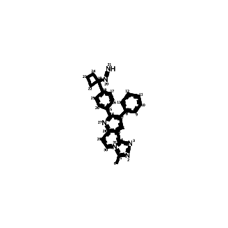 Cc1nnc2c3cc(-c4ccccc4)c(-c4ccc(C5(N=N)CCC5)cc4)nc3ccn12